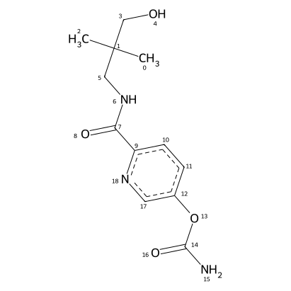 CC(C)(CO)CNC(=O)c1ccc(OC(N)=O)cn1